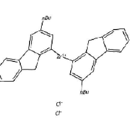 CCCCc1c[c]([Zr+2][c]2cc(CCCC)cc3c2Cc2ccccc2-3)c2c(c1)-c1ccccc1C2.[Cl-].[Cl-]